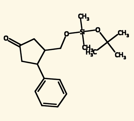 CC(C)(C)O[Si](C)(C)OCC1CC(=O)CC1c1ccccc1